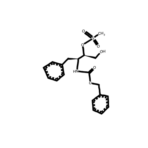 CS(=O)(=O)O[C@@H](CO)[C@H](Cc1ccccc1)NC(=O)OCc1ccccc1